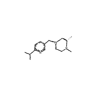 CC(C)c1ccc(CN2CCN(C)[C@@H](C)C2)cn1